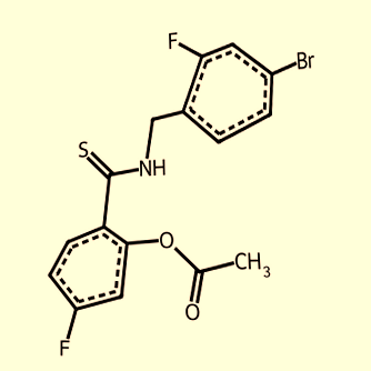 CC(=O)Oc1cc(F)ccc1C(=S)NCc1ccc(Br)cc1F